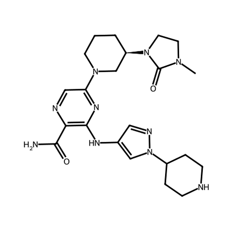 CN1CCN([C@@H]2CCCN(c3cnc(C(N)=O)c(Nc4cnn(C5CCNCC5)c4)n3)C2)C1=O